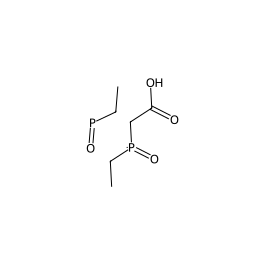 CCP=O.CC[P](=O)CC(=O)O